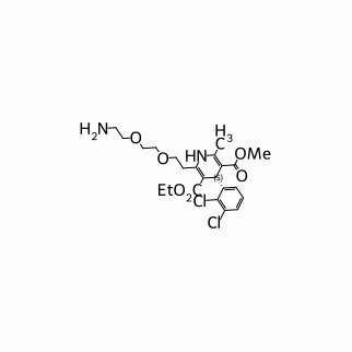 CCOC(=O)C1=C(CCOCCOCCN)NC(C)=C(C(=O)OC)[C@@H]1c1cccc(Cl)c1Cl